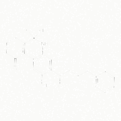 CC(CCCc1ccccc1)c1cc2c(cc1O)C1=C(CCCC1=O)C(C)(C)N2